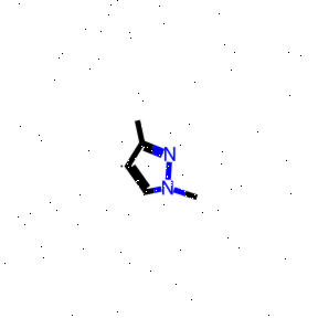 Cc1[c]cn(C)n1